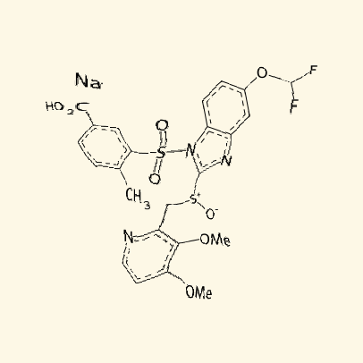 COc1ccnc(C[S+]([O-])c2nc3cc(OC(F)F)ccc3n2S(=O)(=O)c2cc(C(=O)O)ccc2C)c1OC.[Na]